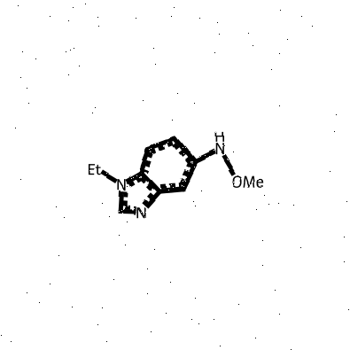 CCn1cnc2cc(NOC)ccc21